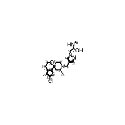 CNC(O)Cn1cc(CN2CC[C@]3(C[C@@H]2C)OCCc2cc(Cl)sc23)cn1